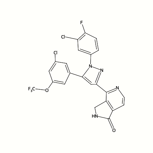 O=C1NCc2c1ccnc2-c1cc(-c2cc(Cl)cc(OC(F)(F)F)c2)n(-c2ccc(F)c(Cl)c2)n1